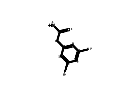 [NH]C(=O)Cc1cc(F)cc(F)c1